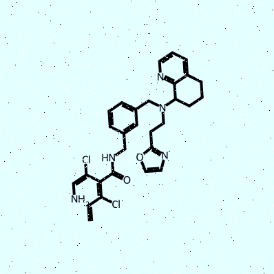 C=C/C(Cl)=C(C(=O)NCc1cccc(CN(CCc2ncco2)C2CCCc3cccnc32)c1)\C(Cl)=C/N